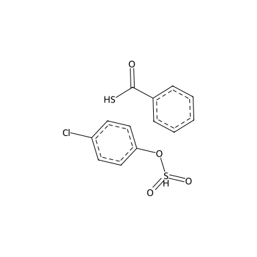 O=C(S)c1ccccc1.O=[SH](=O)Oc1ccc(Cl)cc1